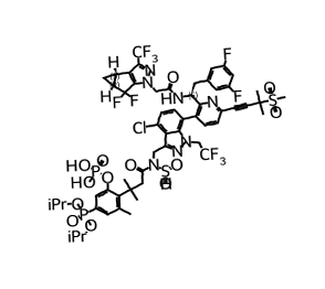 Cc1cc(P(=O)(OC(C)C)OC(C)C)cc(OP(=O)(O)O)c1C(C)(C)CC(=O)N(Cc1nn(CC(F)(F)F)c2c(-c3ccc(C#CC(C)(C)S(C)(=O)=O)nc3[C@H](Cc3cc(F)cc(F)c3)NC(=O)Cn3nc(C(F)(F)F)c4c3C(F)(F)[C@@H]3C[C@H]43)ccc(Cl)c12)[SH](=O)=O